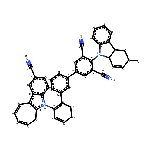 CC1C=CC2C(C1)c1ccccc1N2c1c(C#N)cc(-c2cccc(C3=C(n4c5c(c6cc(C#N)ccc64)C=CC=CC5)C=CCC3)c2)cc1C#N